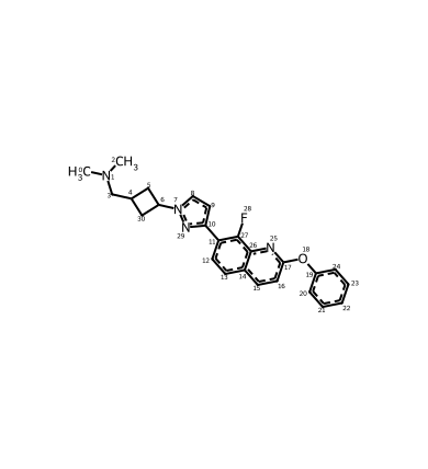 CN(C)CC1CC(n2ccc(-c3ccc4ccc(Oc5ccccc5)nc4c3F)n2)C1